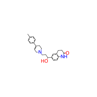 Cc1ccc(C2=CCN(CCC(O)c3ccc4c(c3)CCC(=O)N4)CC2)cc1